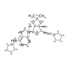 CC1(C)O[C@H]2[C@H](O1)[C@@H](C#CC1CCCC1)O[C@H]2n1cnc2c(NC3CCCC3)ncnc21